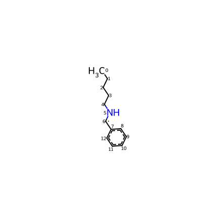 CCCCCN[CH]c1ccccc1